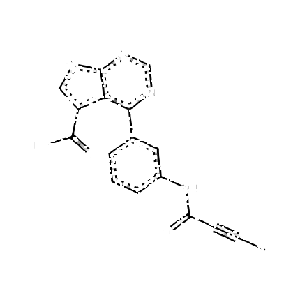 CC#CC(=O)Nc1cccc(-c2ncnc3[nH]cc(C(=O)O)c23)c1